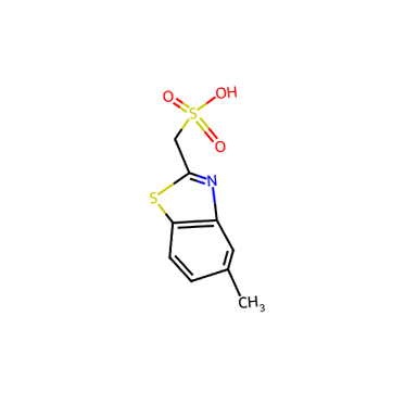 Cc1ccc2sc(CS(=O)(=O)O)nc2c1